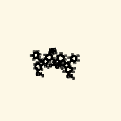 Cc1ccc2c(c1)c1c(n2-c2ccccc2)-c2ccc[c]([Zr]([c]3cccc4c3Cc3c-4n(-c4ccccc4)c4ccc(C)cc34)[SiH](C)C)c2C1.Cl.Cl